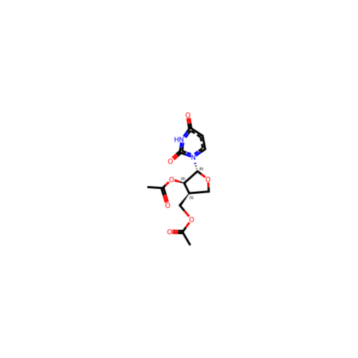 CC(=O)OC[C@@H]1CO[C@@H](n2ccc(=O)[nH]c2=O)[C@@H]1OC(C)=O